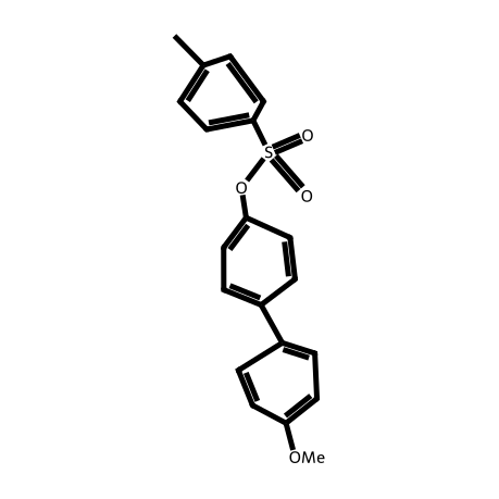 COc1ccc(-c2ccc(OS(=O)(=O)c3ccc(C)cc3)cc2)cc1